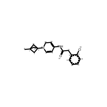 CC12CC(N3C=CC(NC(=O)Cc4ccccc4Cl)=CC3)(C1)C2